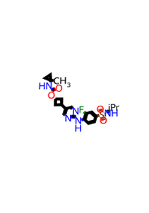 CC(C)NS(=O)(=O)c1ccc(Nc2ncc(C3CC(OC(=O)NC4(C)CC4)C3)cn2)c(F)c1